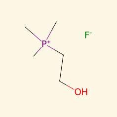 C[P+](C)(C)CCO.[F-]